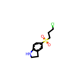 O=S(=O)(CCCCl)c1ccc2c(c1)CCN2